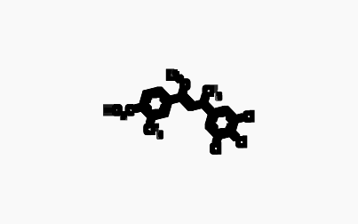 CCO/C(=C\C(c1cc(Cl)c(Cl)c(Cl)c1)C(F)(F)F)c1ccc(C(=O)O)c(C(F)(F)F)c1